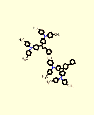 Cc1ccc(N(c2ccc(C)cc2)c2ccc(C(CCc3ccccc3)c3ccc(N(c4ccc(C)cc4)c4ccc(C)cc4)cc3)cc2)cc1.Cc1ccc(N(c2ccc(C)cc2)c2ccc(C3(c4ccc(N(c5ccc(C)cc5)c5ccc(C)cc5)cc4)CCC(c4ccccc4)CC3)cc2)cc1